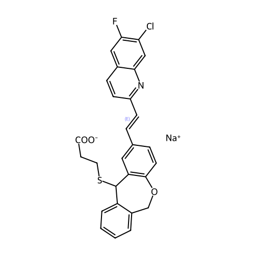 O=C([O-])CCSC1c2ccccc2COc2ccc(/C=C/c3ccc4cc(F)c(Cl)cc4n3)cc21.[Na+]